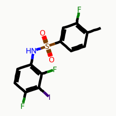 Cc1ccc(S(=O)(=O)Nc2ccc(F)c(I)c2F)cc1F